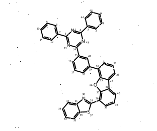 c1ccc(-c2nc(-c3ccccc3)nc(-c3cccc(-c4cccc5c4oc4c(-c6nc7ccccc7s6)cccc45)c3)n2)cc1